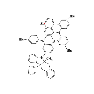 CC(C)(C)c1ccc(N2c3cc(N4c5ccccc5C5(c6ccccc6)Cc6ccccc6CC45C)ccc3B3c4cc(C(C)(C)C)ccc4N(c4ccc(C(C)(C)C)cc4-c4ccccc4)c4cc(C(C)(C)C)cc2c43)cc1